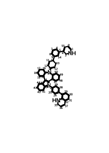 C1=CNCC(c2cccc(C3C=CC(N4c5ccccc5-c5c(n(-c6ccc(-c7cccc8c7NCC=C8)cc6)c6ccccc56)-c5ccccc54)=CC3)c2)=C1